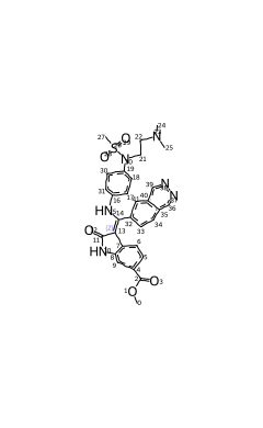 COC(=O)c1ccc2c(c1)NC(=O)/C2=C(\Nc1ccc(N(CCN(C)C)S(C)(=O)=O)cc1)c1ccc2cnncc2c1